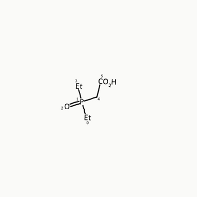 CCP(=O)(CC)CC(=O)O